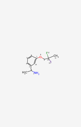 CC(N)c1cccc(OCC(C)(F)I)c1